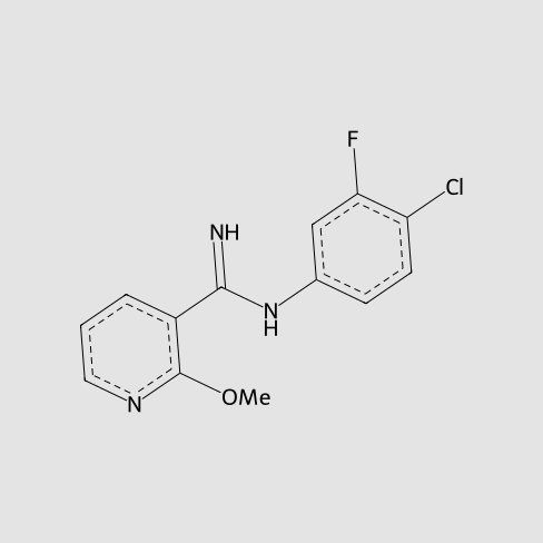 COc1ncccc1C(=N)Nc1ccc(Cl)c(F)c1